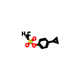 CCS(=O)(=O)Oc1ccc(C2CC2)cc1